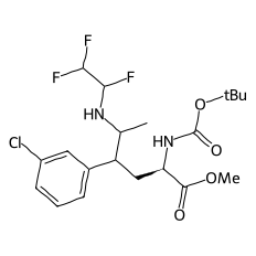 COC(=O)[C@@H](CC(c1cccc(Cl)c1)C(C)NC(F)C(F)F)NC(=O)OC(C)(C)C